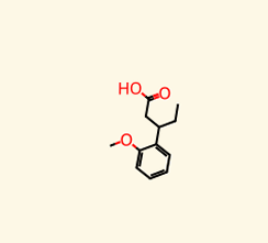 CCC(CC(=O)O)c1ccccc1OC